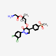 CC(C)(CCOc1c(-c2ccc(S(C)(=O)=O)cc2)cnn(-c2ccc(F)c(Cl)c2)c1=O)OC(=O)CN